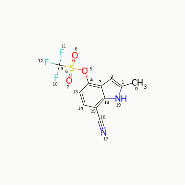 Cc1cc2c(OS(=O)(=O)C(F)(F)F)ccc(C#N)c2[nH]1